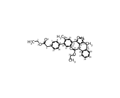 CCOC(=O)Cc1ccc(-c2ccc(-c3onc(C)c3N(C(=O)OCC)c3ccccc3F)cc2C)cc1